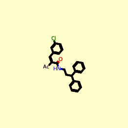 CC(=O)/C(=C/c1cccc(Cl)c1)C(=O)NCCC(c1ccccc1)c1ccccc1